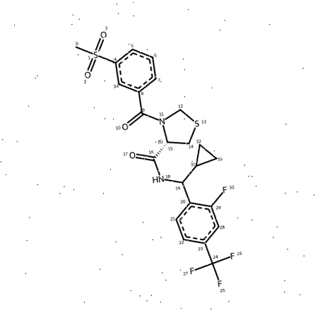 CS(=O)(=O)c1cccc(C(=O)N2CSC[C@@H]2C(=O)NC(c2ccc(C(F)(F)F)cc2F)C2CC2)c1